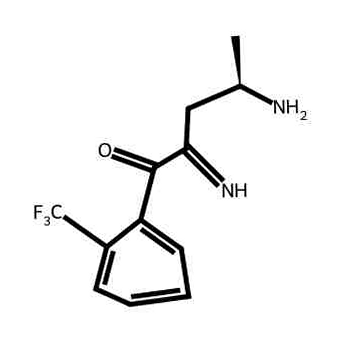 C[C@@H](N)CC(=N)C(=O)c1ccccc1C(F)(F)F